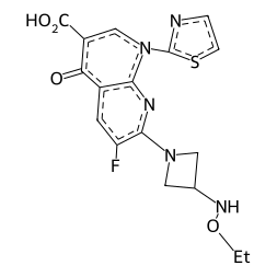 CCONC1CN(c2nc3c(cc2F)c(=O)c(C(=O)O)cn3-c2nccs2)C1